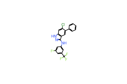 Fc1cc(Nc2n[nH]c3cc(Cl)c(-c4ccccc4)cc23)cc(C(F)(F)F)c1